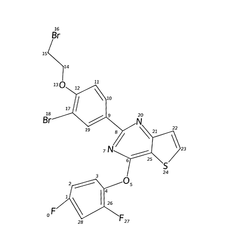 Fc1ccc(Oc2nc(-c3ccc(OCCBr)c(Br)c3)nc3ccsc23)c(F)c1